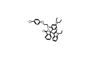 CCN(CC)c1ccc(C2(c3c(C)n(CC)c4ccccc34)OC(=O)c3ccccc32)c(OCCOc2ccc(Cl)cc2)c1